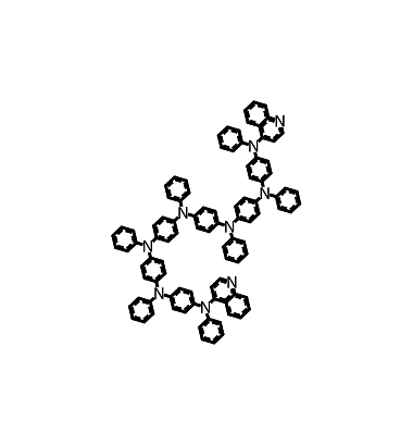 c1ccc(N(c2ccc(N(c3ccccc3)c3ccc(N(c4ccccc4)c4ccc(N(c5ccccc5)c5ccnc6ccccc56)cc4)cc3)cc2)c2ccc(N(c3ccccc3)c3ccc(N(c4ccccc4)c4ccc(N(c5ccccc5)c5ccnc6ccccc56)cc4)cc3)cc2)cc1